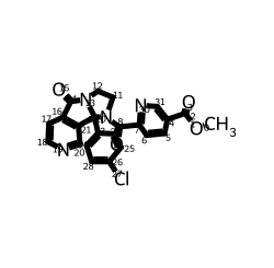 COC(=O)c1ccc(C(=O)N2CCN3C(=O)c4ccncc4C23c2ccc(Cl)cc2)nc1